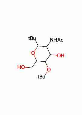 CC(=O)NC1C(O)C(OC(C)(C)C)C(CO)OC1C(C)(C)C